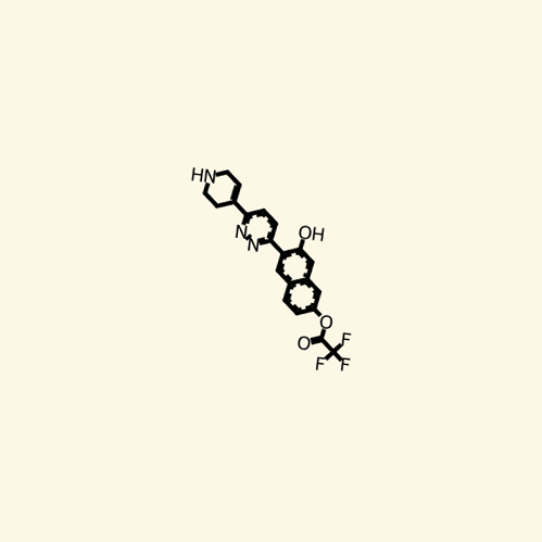 O=C(Oc1ccc2cc(-c3ccc(C4=CCNCC4)nn3)c(O)cc2c1)C(F)(F)F